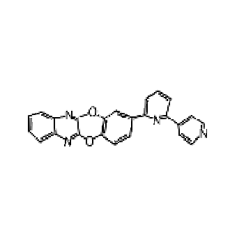 c1cc(-c2ccncc2)nc(-c2ccc3c(c2)Oc2nc4ccccc4nc2O3)c1